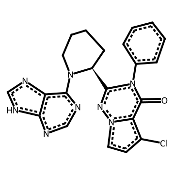 O=c1c2c(Cl)ccn2nc([C@@H]2CCCCN2c2ncnc3[nH]cnc23)n1-c1ccccc1